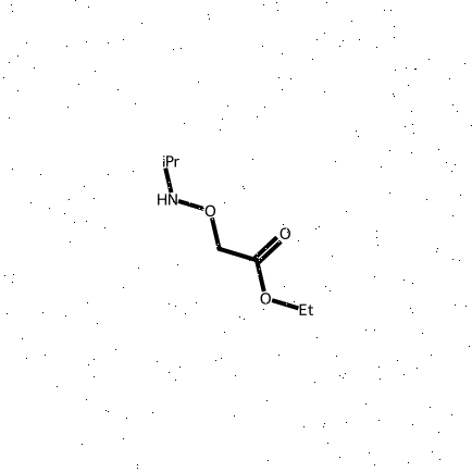 CCOC(=O)CONC(C)C